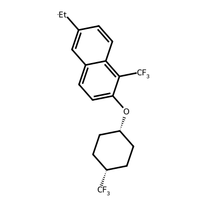 [CH2][CH]c1ccc2c(C(F)(F)F)c(O[C@H]3CC[C@@H](C(F)(F)F)CC3)ccc2c1